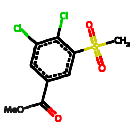 COC(=O)c1cc(Cl)c(Cl)c(S(C)(=O)=O)c1